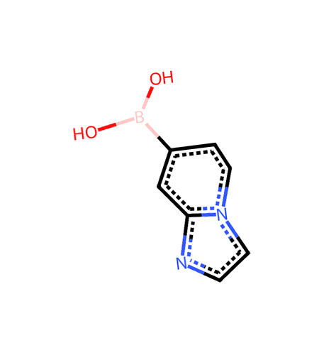 OB(O)c1ccn2ccnc2c1